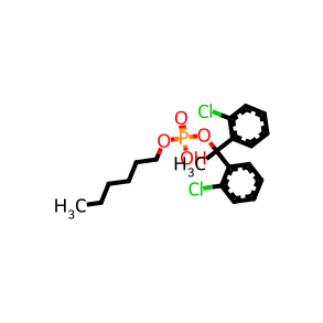 CCCCCCOP(=O)(O)OC(C)(c1ccccc1Cl)c1ccccc1Cl